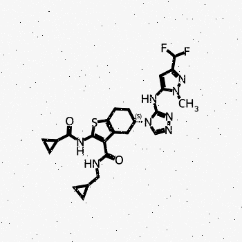 Cn1nc(C(F)F)cc1Nc1nncn1[C@H]1CCc2sc(NC(=O)C3CC3)c(C(=O)NCC3CC3)c2C1